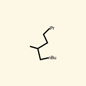 CCCCCC(C)CCC(C)C